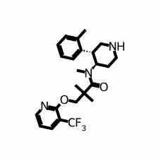 Cc1ccccc1[C@@H]1CNCC[C@H]1N(C)C(=O)C(C)(C)COc1ncccc1C(F)(F)F